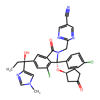 CC[C@](O)(c1cc(F)c2c(c1)C(=O)N(Cc1ncc(C#N)cn1)[C@@]2(O[C@H]1CCC(=O)C1)c1ccc(Cl)cc1)c1cn(C)cn1